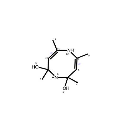 C/C1=C/C(C)(O)NC(C)(O)/C=C(/C)N1